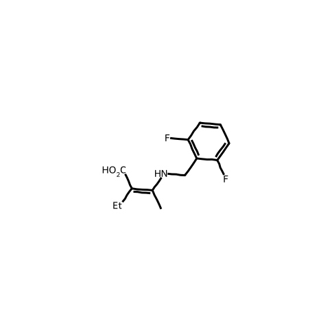 CC/C(C(=O)O)=C(\C)NCc1c(F)cccc1F